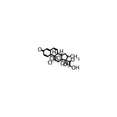 C[C@@H]1C[C@H]2[C@@H]3C=CC4=CC(=O)C=C[C@]4(C)[C@@]3(Cl)[C@@H](Cl)C[C@]2(C)[C@@]1(O)C(=O)CO